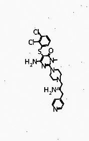 Cn1c(N2CCN(C[C@@H](N)Cc3ccncc3)CC2)nc(N)c(Sc2cccc(Cl)c2Cl)c1=O